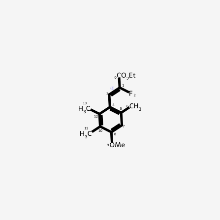 CCOC(=O)/C(F)=C/c1c(C)cc(OC)c(C)c1C